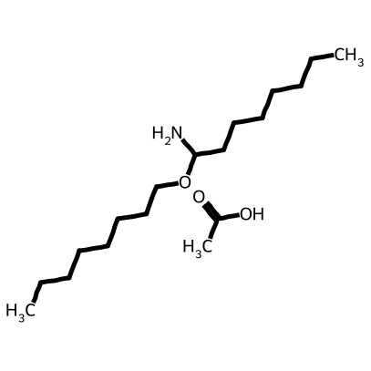 CC(=O)O.CCCCCCCCOC(N)CCCCCCC